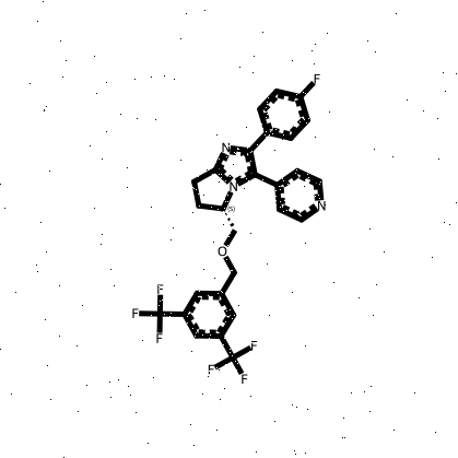 Fc1ccc(-c2nc3n(c2-c2ccncc2)[C@H](COCc2cc(C(F)(F)F)cc(C(F)(F)F)c2)CC3)cc1